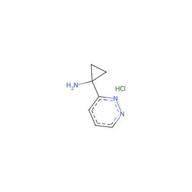 Cl.NC1(c2cccnn2)CC1